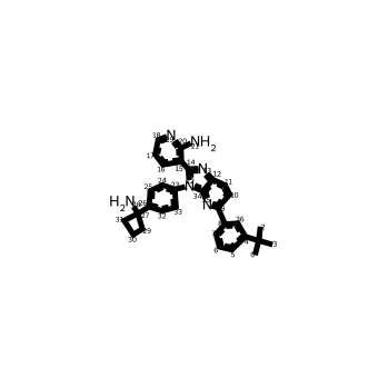 CC(C)(C)c1cccc(-c2ccc3nc(-c4cccnc4N)n(-c4ccc(C5(N)CCC5)cc4)c3n2)c1